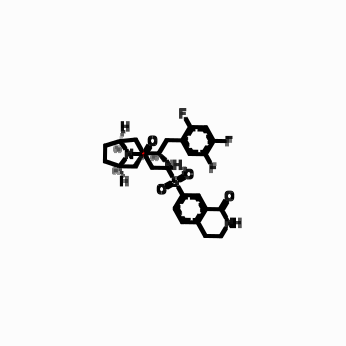 N[C@H](Cc1cc(F)c(F)cc1F)[C@H]1C[C@H]2CC[C@@H](C1)N2C(=O)CCS(=O)(=O)c1ccc2c(c1)C(=O)NCC2